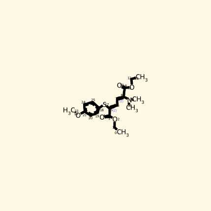 CCOC(=O)/C(=C/C=C(/C(=O)OCC)N(C)C)Sc1ccc(OC)cc1